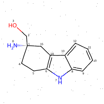 N[C@@]1(CO)CCc2[nH]c3ccccc3c2C1